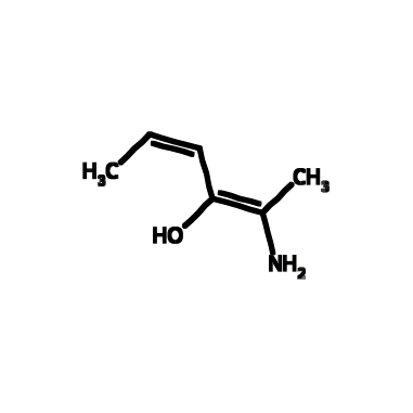 C/C=C\C(O)=C(/C)N